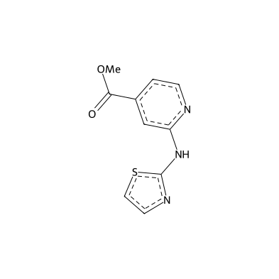 COC(=O)c1ccnc(Nc2nccs2)c1